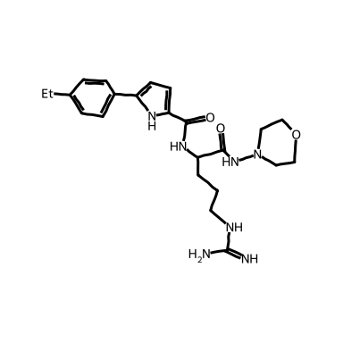 CCc1ccc(-c2ccc(C(=O)NC(CCCNC(=N)N)C(=O)NN3CCOCC3)[nH]2)cc1